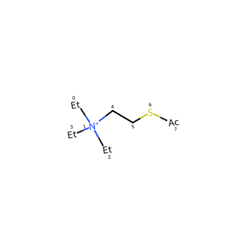 CC[N+](CC)(CC)CCSC(C)=O